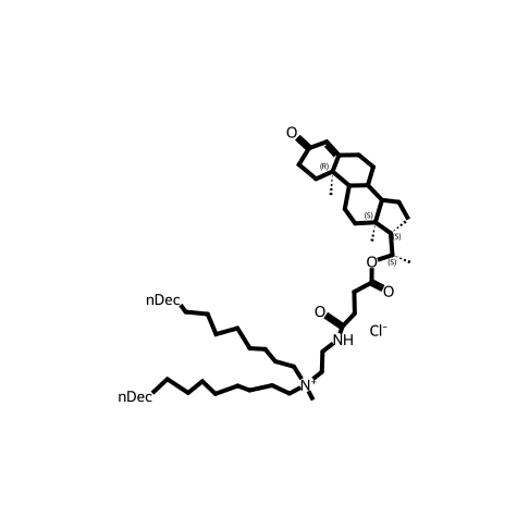 CCCCCCCCCCCCCCCCCC[N+](C)(CCCCCCCCCCCCCCCCCC)CCNC(=O)CCC(=O)O[C@@H](C)[C@H]1CCC2C3CCC4=CC(=O)CC[C@]4(C)C3CC[C@@]21C.[Cl-]